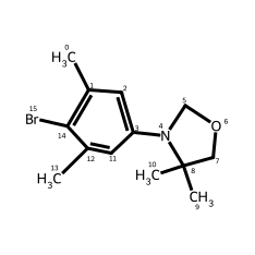 Cc1cc(N2COCC2(C)C)cc(C)c1Br